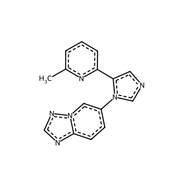 Cc1cccc(-c2cncn2-c2ccc3ncnn3c2)n1